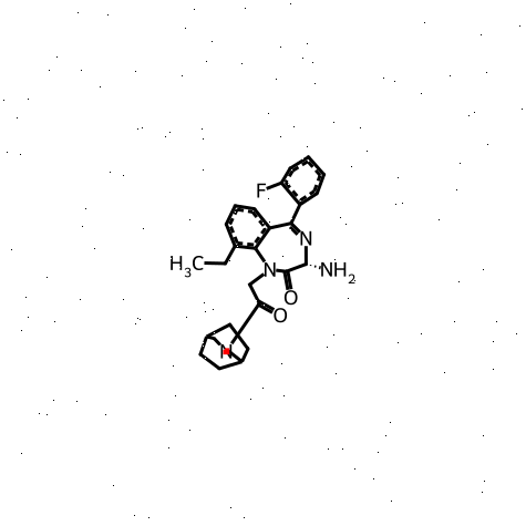 CCc1cccc2c1N(CC(=O)N1CC3CCC(CC3)C1)C(=O)[C@@H](N)N=C2c1ccccc1F